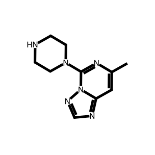 Cc1cc2ncnn2c(N2CCNCC2)n1